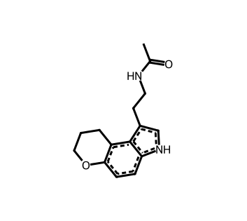 CC(=O)NCCc1c[nH]c2ccc3c(c12)CCCO3